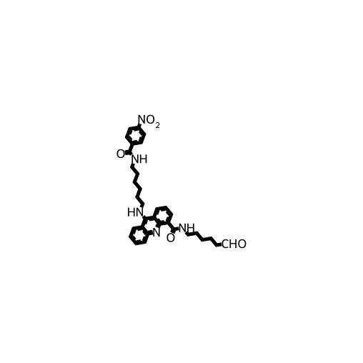 O=CCCCCCNC(=O)c1cccc2c(NCCCCCCNC(=O)c3ccc([N+](=O)[O-])cc3)c3ccccc3nc12